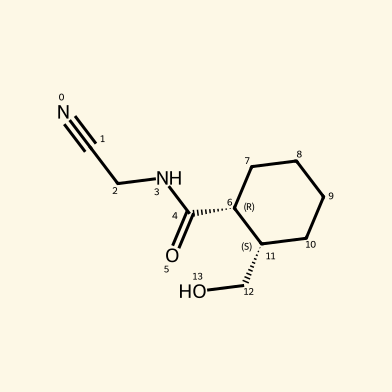 N#CCNC(=O)[C@@H]1CCCC[C@@H]1CO